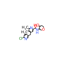 Cc1nc(C(=O)N[C@H]2COCC[C@@H]2O)cc(Cc2ccc(Cl)nc2)c1C